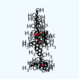 CCC(OC(C)=O)C(OC(O)C(O)C(O)C(C)O)C(O)C(O)OC(CC)C(O)C(CO)(OC(=O)[C@]12CCC(C)(C)CC1C1=CCC3[C@@]4(C)CC[C@H](OC(O)C(OC5OC(CO)C(O)C(O)C5O)C(OC(O)C(O)C(O)C(C)O)C(O)CC(=O)O)[C@H](C)C4CC[C@@]3(C)[C@]1(C)C[C@H]2O)OC1OC(C)C(OC(O)/C(O)=C(/OC(O)C(O)C(O)C(O)CCO)C(C)O)C(O)C1O